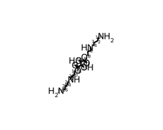 NCCCCNCCCOC(=O)C(O)C(O)C(=O)OCCCNCCCCN